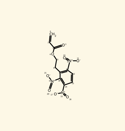 C=CC(=O)OCCc1c([N+](=O)[O-])ccc([N+](=O)[O-])c1[N+](=O)[O-]